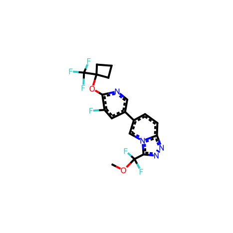 COC(F)(F)c1nnc2ccc(-c3cnc(OC4(C(F)(F)F)CCC4)c(F)c3)cn12